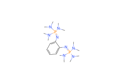 CN(C)P(=Nc1ccccc1N=P(N(C)C)(N(C)C)N(C)C)(N(C)C)N(C)C